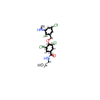 CC(C)Nc1cc(Cl)cc(COc2c(Cl)cc(C(=O)NCC(=O)O)cc2Cl)c1F